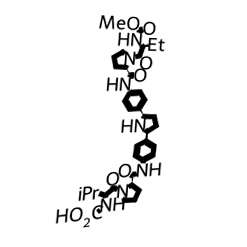 CC[C@H](NC(=O)OC)C(=O)N1CCC[C@H]1C(=O)Nc1ccc([C@@H]2CC[C@@H](c3ccc(NC(=O)[C@@H]4CCCN4C(=O)C(NC(=O)O)C(C)C)cc3)N2)cc1